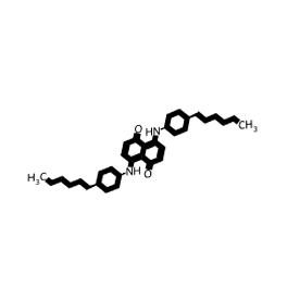 CCCCCC[C@H]1CC[C@H](NC2=C3C(=O)C=CC(N[C@H]4CC[C@H](CCCCCC)CC4)=C3C(=O)C=C2)CC1